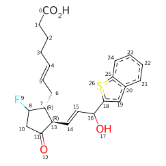 O=C(O)CCCC=CC[C@H]1C(F)CC(=O)[C@@H]1C=CC(O)c1cc2ccccc2s1